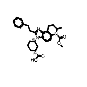 COC(=O)N1c2ccc3c(nc(CCc4ccccc4)n3[C@H]3CCC[C@@H](C(=O)O)C3)c2CCC1C